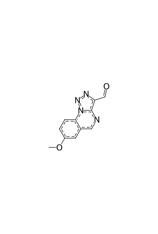 COc1ccc2c(cnc3c(C=O)nnn32)c1